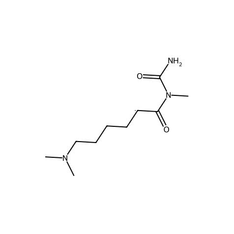 CN(C)CCCC[CH]C(=O)N(C)C(N)=O